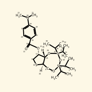 CC(C)[Si]1(C(C)C)OC[C@H]2SC[C@H](OC(=O)c3ccc(N(C)C)cc3)[C@@H]2O[Si](C(C)C)(C(C)C)O1